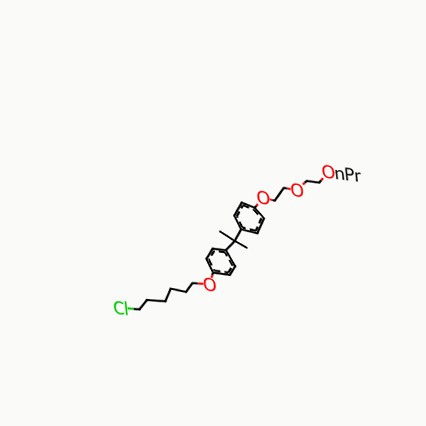 CCCOCCOCCOc1ccc(C(C)(C)c2ccc(OCCCCCCCl)cc2)cc1